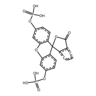 O=C1OC2(c3ccc(OP(=O)(O)O)cc3Oc3cc(OP(=O)(O)O)ccc32)c2ccccc21